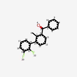 Cc1c(C(=O)c2ccccc2)cccc1-c1cccc(F)c1F